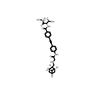 C[C@@H](O)[C@H](NC(=O)c1ccc(C#Cc2ccc(NC(=O)CNC[C@@H]3CC[C@H]4C[C@H]3C4(C)C)cc2)cc1)C(=O)NO